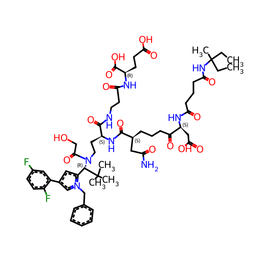 CCC(C)(CC)NC(=O)CCCC(=O)N[C@@H](CC(=O)O)C(=O)CCC[C@@H](CC(N)=O)C(=O)N[C@@H](CCN(C(=O)CO)[C@@H](c1cc(-c2cc(F)ccc2F)cn1Cc1ccccc1)C(C)(C)C)C(=O)NCCC(=O)N[C@H](CCC(=O)O)C(=O)O